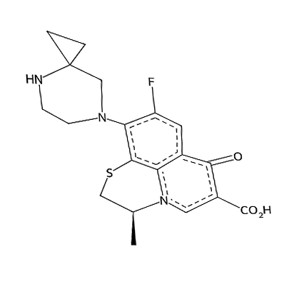 C[C@H]1CSc2c(N3CCNC4(CC4)C3)c(F)cc3c(=O)c(C(=O)O)cn1c23